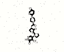 O=C1[C@@H](CC(=O)N2CCN(c3ccc(Cl)cn3)CC2)CC[C@H]1[C@@H]1CCCN1c1cn[nH]c(=O)c1C(F)(F)F